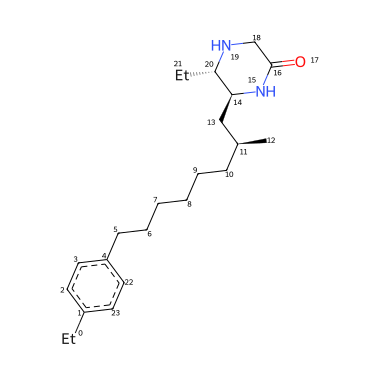 CCc1ccc(CCCCCC[C@H](C)C[C@@H]2NC(=O)CN[C@H]2CC)cc1